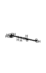 O=C(O)CCCCCCCCCCC(=O)NCCOCCCNCCCNCCCCCOC[C@@]1(CO)OCC[C@@H](O)[C@H]1O